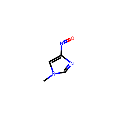 Cn1cnc(N=O)c1